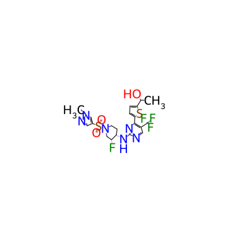 CC(O)c1ccc(-c2nc(N[C@H]3CCN(S(=O)(=O)c4cnn(C)c4)C[C@H]3F)ncc2C(F)(F)F)s1